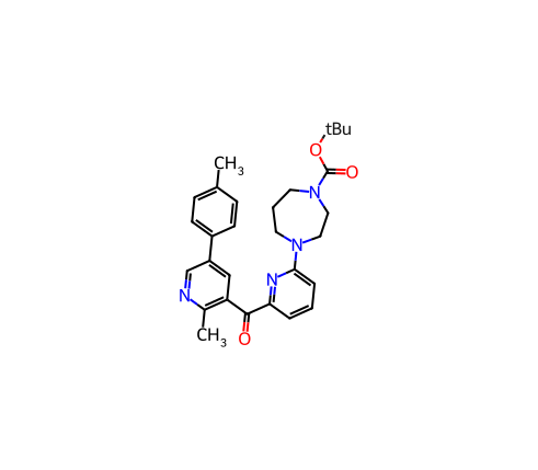 Cc1ccc(-c2cnc(C)c(C(=O)c3cccc(N4CCCN(C(=O)OC(C)(C)C)CC4)n3)c2)cc1